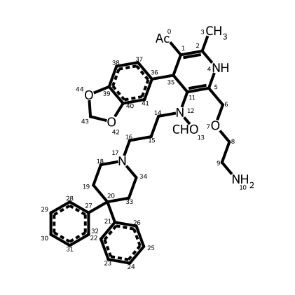 CC(=O)C1=C(C)NC(COCCN)=C(N(C=O)CCCN2CCC(c3ccccc3)(c3ccccc3)CC2)C1c1ccc2c(c1)OCO2